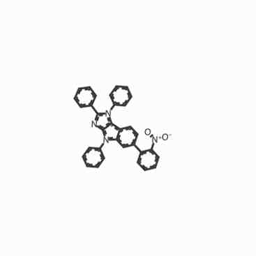 O=[N+]([O-])c1ccccc1-c1ccc2c3c(nc(-c4ccccc4)n3-c3ccccc3)n(-c3ccccc3)c2c1